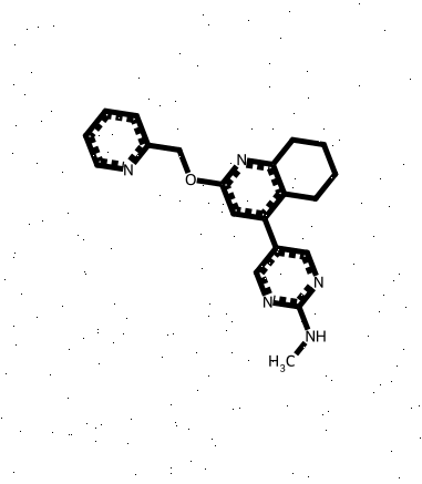 CNc1ncc(-c2cc(OCc3ccccn3)nc3c2CCCC3)cn1